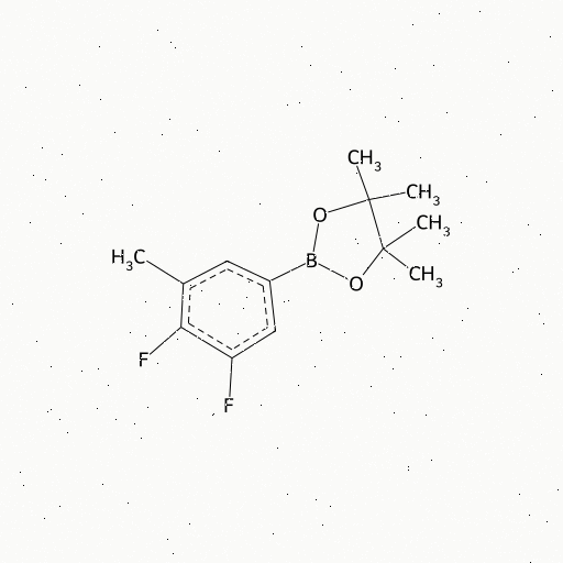 Cc1cc(B2OC(C)(C)C(C)(C)O2)cc(F)c1F